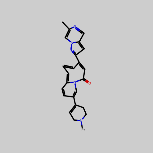 CCN1CC=C(C2=CN3C(=O)\C=C(c4cc5cnc(C)cn5n4)/C=C/C=C/3C=C2)CC1